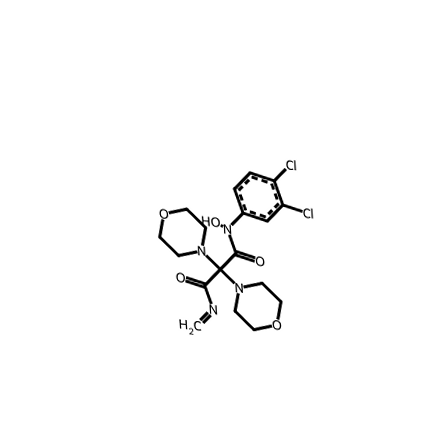 C=NC(=O)C(C(=O)N(O)c1ccc(Cl)c(Cl)c1)(N1CCOCC1)N1CCOCC1